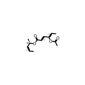 C/C=C\[C@@H](C)OC(=O)/C=C/C(=C/C)OC(C)=O